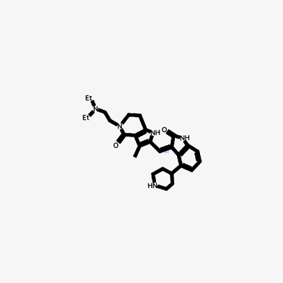 CCN(CC)CCN1CCc2[nH]c(/C=C3\C(=O)Nc4cccc(C5CCNCC5)c43)c(C)c2C1=O